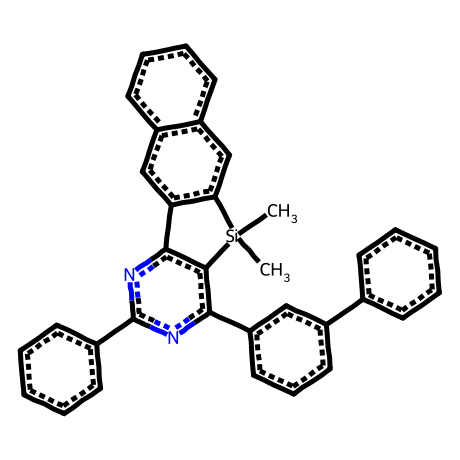 C[Si]1(C)c2cc3ccccc3cc2-c2nc(-c3ccccc3)nc(-c3cccc(-c4ccccc4)c3)c21